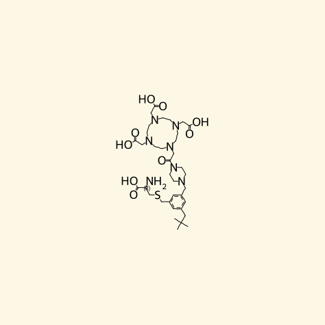 CC(C)(C)Cc1cc(CSC[C@H](N)C(=O)O)cc(CN2CCN(C(=O)CN3CCN(CC(=O)O)CCN(CC(=O)O)CCN(CC(=O)O)CC3)CC2)c1